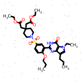 CCCOc1ccc(S(=O)(=O)N2CCC(CC(=O)OCC)(CC(=O)OCC)CC2)cc1-c1nc2c(CCC)cn(CC)c2c(=O)[nH]1